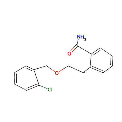 NC(=O)c1ccccc1[CH]COCc1ccccc1Cl